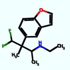 CCNC(C)C(C)(c1ccc2occc2c1)C(F)F